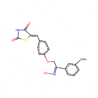 COc1cccc(/C(COc2ccc(/C=C3\SC(=O)NC3=O)cc2)=N/O)c1